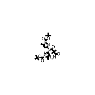 Cc1cc(N(C(=O)C(C)(C)C(N)=O)c2cc(C)n(C(=O)OC(C)(C)C)n2)nn1C(=O)OC(C)(C)C